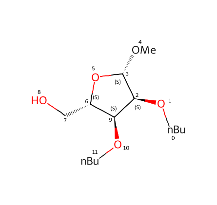 CCCCO[C@@H]1[C@@H](OC)O[C@@H](CO)[C@@H]1OCCCC